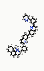 CCC1C=CC=Cc2ccc3ccc(-c4cccc(-c5ccc6ccc(-c7ccc8ccc(-c9cccc(-c%10ccccn%10)c9)nc8c7)cc6n5)c4)nc3c21